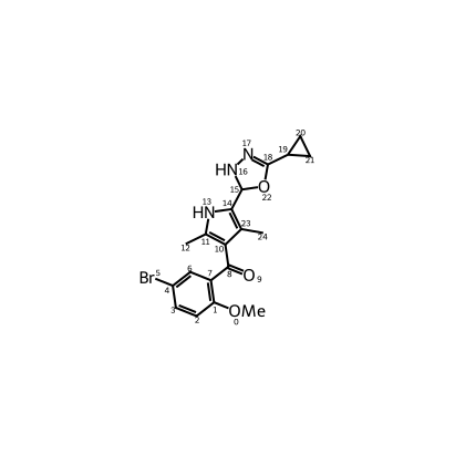 COc1ccc(Br)cc1C(=O)c1c(C)[nH]c(C2NN=C(C3CC3)O2)c1C